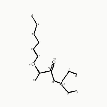 CCCCCCOC(C)C(=O)CN(CC)CC